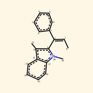 C/C=C(/c1ccccc1)c1c(C)c2ccccc2n1C